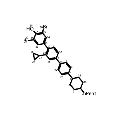 CCCCCC1CCC(c2ccc(-c3ccc(-c4cc(Br)c(O)c(Br)c4)c(C4CC4)c3)cc2)CC1